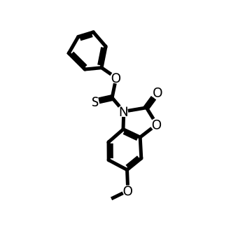 COc1ccc2c(c1)oc(=O)n2C(=S)Oc1ccccc1